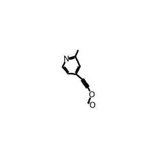 Cc1cc(C#COC=O)ccn1